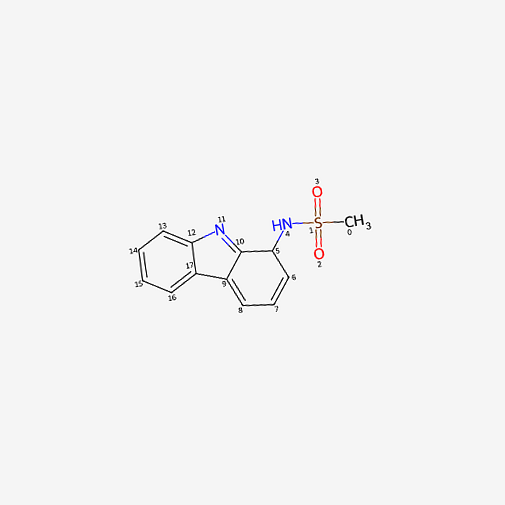 CS(=O)(=O)NC1C=CC=C2C1=Nc1ccccc12